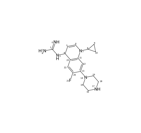 N=C(N)NC1C=CN(C2CC2)c2cc(N3CCNCC3)c(F)cc21